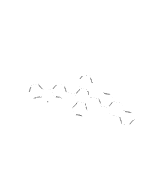 Cc1ccc2c(-c3ccc4c(c3)C(C)(C)c3ccccc3-4)c3ccccc3c(-c3ccc4c(c3)N(C)c3ccccc3C4)c2c1